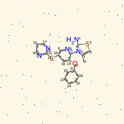 CC1=CSC(N)N1c1ncc(Sc2ncccn2)cc1Oc1ccccc1